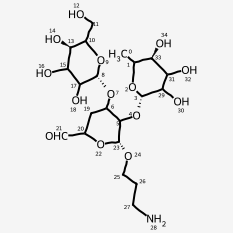 CC1O[C@@H](OC2C(O[C@H]3OC(CO)[C@H](O)C(O)C3O)CC(C=O)O[C@H]2OCCCN)C(O)C(O)[C@@H]1O